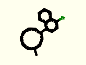 Cc1ccccccc(-c2ccc(Br)c3ccccc23)cc1